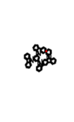 c1ccc(-n2c3ccccc3c3cc4c5ccccc5n(-c5cc(-n6c7ccccc7c7ccccc76)cc(-n6c7ccccc7c7ccccc76)c5)c4cc32)cc1